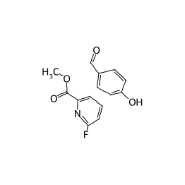 COC(=O)c1cccc(F)n1.O=Cc1ccc(O)cc1